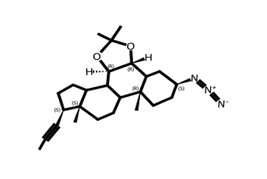 CC#C[C@H]1CCC2C3C(CC[C@@]21C)[C@@]1(C)CC[C@H](N=[N+]=[N-])CC1[C@H]1OC(C)(C)O[C@H]31